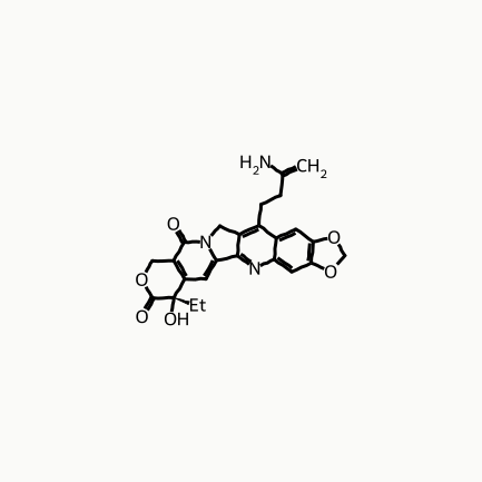 C=C(N)CCc1c2c(nc3cc4c(cc13)OCO4)-c1cc3c(c(=O)n1C2)COC(=O)[C@]3(O)CC